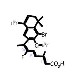 CC(/C=C/C(F)=C(/C)c1cc2c(c(Br)c1OC(C)C)C(C)(C)CC=C2C(C)C)=C\C(=O)O